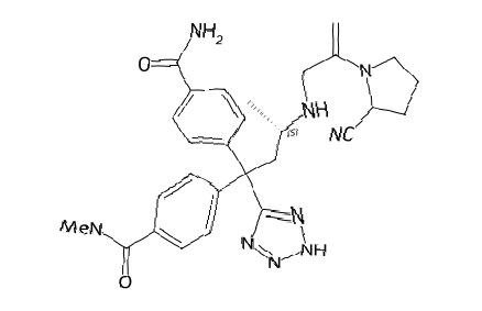 C=C(CN[C@@H](C)CC(c1ccc(C(N)=O)cc1)(c1ccc(C(=O)NC)cc1)c1nn[nH]n1)N1CCCC1C#N